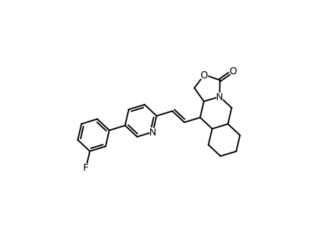 O=C1OCC2C(C=Cc3ccc(-c4cccc(F)c4)cn3)C3CCCCC3CN12